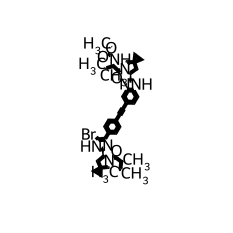 COC(=O)N[C@H](C(=O)N1CC2(CC2)C[C@H]1c1nc2cc(C#Cc3ccc(-c4nc([C@@H]5CC6(CC6)CN5C(=O)[C@@H](C)C(C)C)[nH]c4Br)cc3)ccc2[nH]1)C(C)C